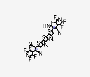 Cn1c2cc(/C(C#N)=C(\C#N)c3c(F)c(F)nc(F)c3F)sc2c2sc3c4sc(/C(C=N)=C(\C#N)c5c(F)c(F)nc(F)c5F)cc4n(C)c3c21